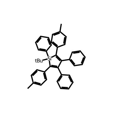 Cc1ccc(C2=C(c3ccccc3)C(c3ccccc3)=C(c3ccc(C)cc3)[Si]2(c2ccccc2)C(C)(C)C)cc1